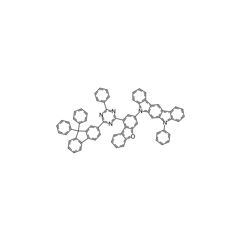 c1ccc(-c2nc(-c3ccc4c(c3)C(c3ccccc3)(c3ccccc3)c3ccccc3-4)nc(-c3cc(-n4c5ccccc5c5cc6c7ccccc7n(-c7ccccc7)c6cc54)cc4oc5ccccc5c34)n2)cc1